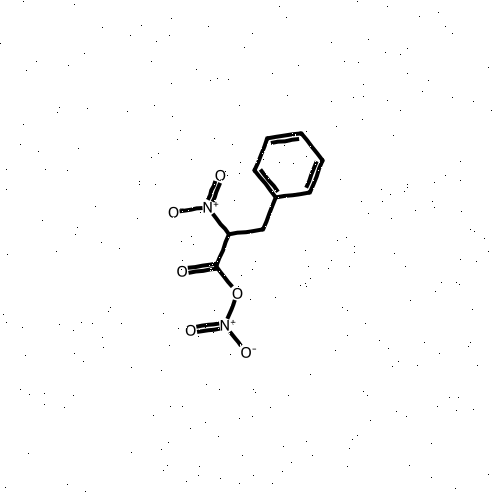 O=C(O[N+](=O)[O-])C(Cc1ccccc1)[N+](=O)[O-]